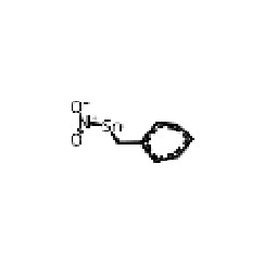 O=[N+]([O-])[Sn][CH2]c1ccccc1